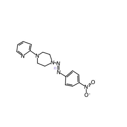 O=[N+]([O-])c1ccc(/N=N/N2CCN(c3ccccn3)CC2)cc1